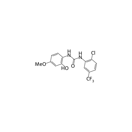 COc1ccc(NC(=O)Nc2cc(C(F)(F)F)ccc2Cl)c(O)c1